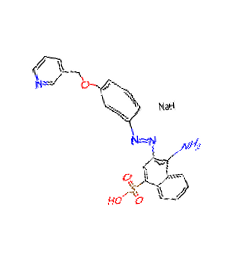 Nc1c(/N=N/c2cccc(OCc3cccnc3)c2)cc(S(=O)(=O)O)c2ccccc12.[NaH]